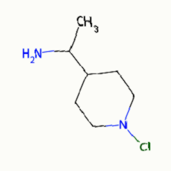 CC(N)C1CCN(Cl)CC1